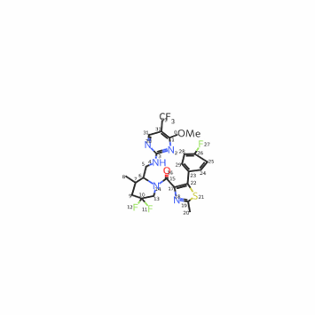 COc1nc(NCC2C(C)CC(F)(F)CN2C(=O)c2nc(C)sc2-c2ccc(F)cc2)ncc1C(F)(F)F